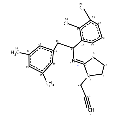 C#CCN1CCS/C1=N\C(Cc1cc(C)cc(C)c1)c1cccc(Cl)c1Cl